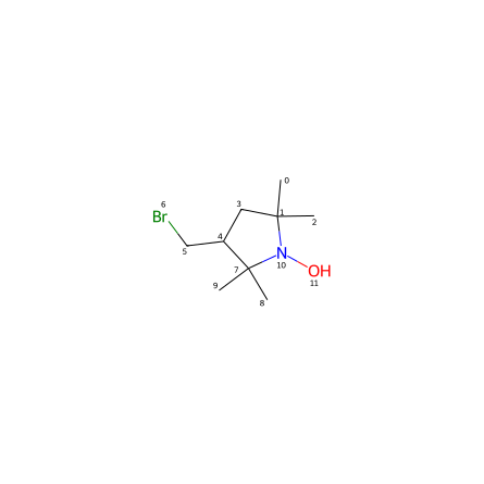 CC1(C)CC(CBr)C(C)(C)N1O